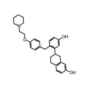 Oc1ccc2c(c1)CC(c1cc(O)ccc1Cc1ccc(OCCN3CCCCC3)cc1)CC2